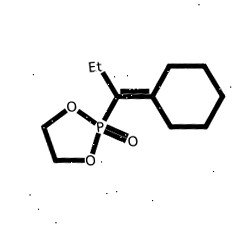 CCC(=C1CCCCC1)P1(=O)OCCO1